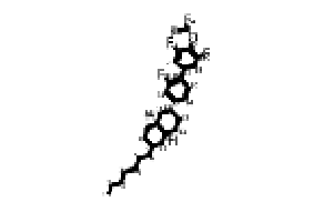 CCCCCCCC1CC[C@@H]2C[C@H](c3ccc(-c4cc(F)c(OC(F)F)c(F)c4)c(F)c3)CC[C@@H]2C1